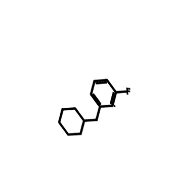 Fc1[c]c(CC2CCCCC2)ccc1